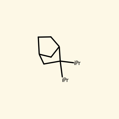 CC(C)C1(C(C)C)CC2CCC1C2